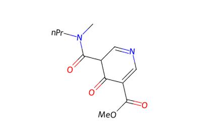 CCCN(C)C(=O)C1C=NC=C(C(=O)OC)C1=O